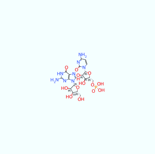 Nc1ccn([C@@H]2O[C@H](COP(=O)(O)O)[C@@H](O)[C@H]2O)c(=O)n1.Nc1nc2c(ncn2[C@@H]2O[C@H](CO)[C@@H](O)[C@H]2O)c(=O)[nH]1